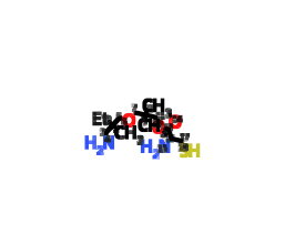 CCC(C)(CN)COCC(C)(C)COC(=O)C(N)CS